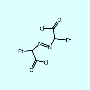 CCC(/N=N/C(CC)C(=O)Cl)C(=O)Cl